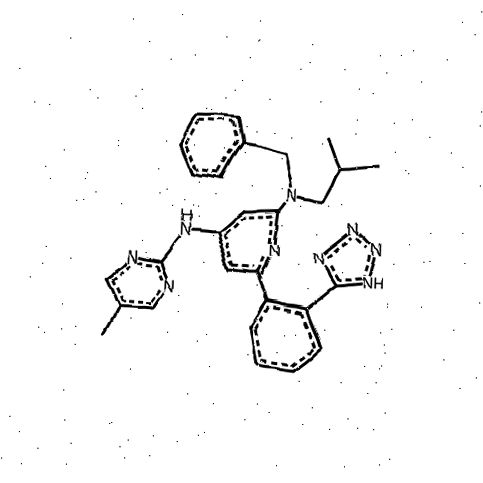 Cc1cnc(Nc2cc(-c3ccccc3-c3nnn[nH]3)nc(N(Cc3ccccc3)CC(C)C)c2)nc1